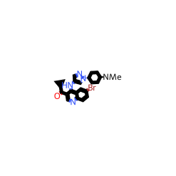 CN[C@H]1CC[C@H](n2cc(Nc3c(C(=O)C4CC4)cnc4ccc(Br)cc34)cn2)CC1